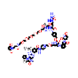 CC[C@@H]1C(=O)N(C)c2cnc(Nc3ccc(C(=O)NC4CCN(CCOCCCC5(NC(=O)OCc6ccc(NC(=O)[C@H](CCCNC(N)=O)NC(=O)[C@@H](NC(=O)CCOCCOCCOCCOCCOCCNC(=O)CCN7C(=O)CCC7=O)C(C)C)cc6)CN(c6cccc7c6CN(C6CCC(=O)NC6=O)C7=O)C5)CC4)cc3OC)nc2N1C1CCCC1